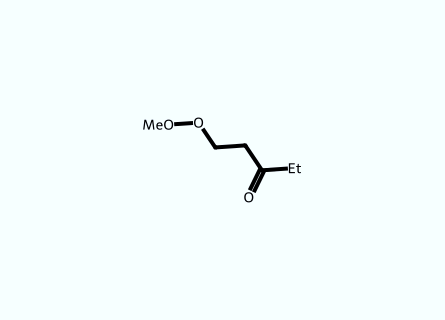 CCC(=O)CCOOC